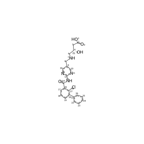 O=C(O)C[C@H](O)CNCc1cnc(NC(=O)c2cccc(-c3ccccc3)c2Cl)nc1